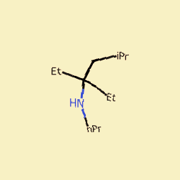 CCCNC(CC)(CC)CC(C)C